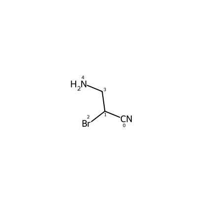 N#CC(Br)CN